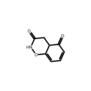 O=C1[C]C2C(=O)C=CC=C2ON1